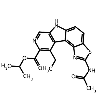 CCc1c(C(=O)OC(C)C)ncc2[nH]c3ccc4sc(NC(C)=O)nc4c3c12